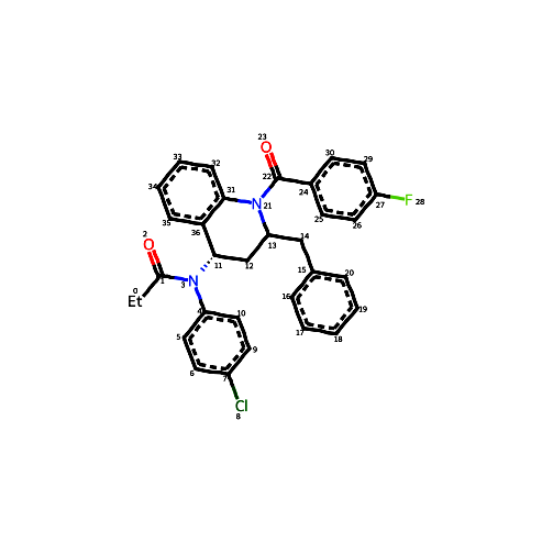 CCC(=O)N(c1ccc(Cl)cc1)[C@H]1CC(Cc2ccccc2)N(C(=O)c2ccc(F)cc2)c2ccccc21